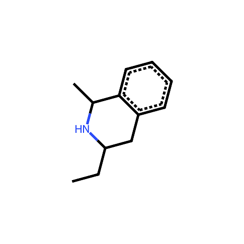 CCC1Cc2ccccc2C(C)N1